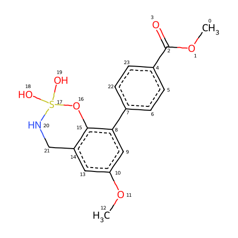 COC(=O)c1ccc(-c2cc(OC)cc3c2OS(O)(O)NC3)cc1